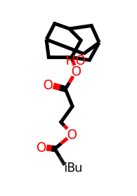 CCC(C)C(=O)OCCC(=O)OC12CC3CC(C1)C(O)C(C3)C2